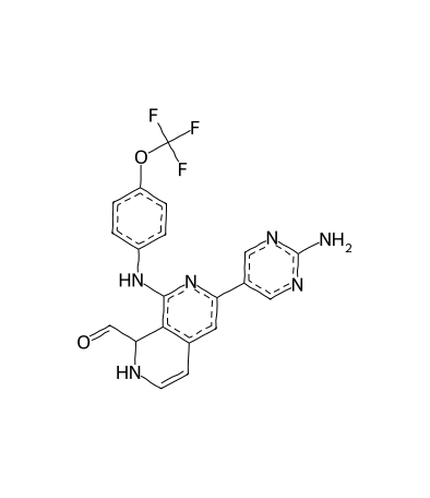 Nc1ncc(-c2cc3c(c(Nc4ccc(OC(F)(F)F)cc4)n2)C(C=O)NC=C3)cn1